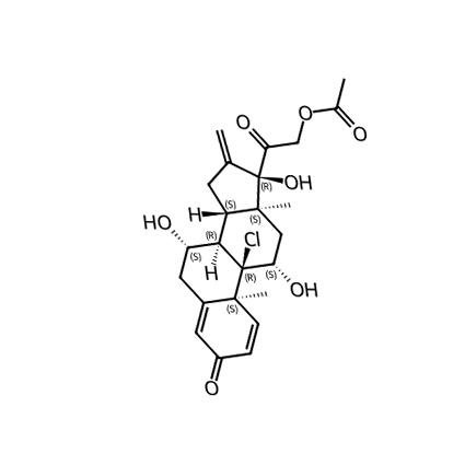 C=C1C[C@H]2[C@@H]3[C@@H](O)CC4=CC(=O)C=C[C@]4(C)[C@@]3(Cl)[C@@H](O)C[C@]2(C)[C@@]1(O)C(=O)COC(C)=O